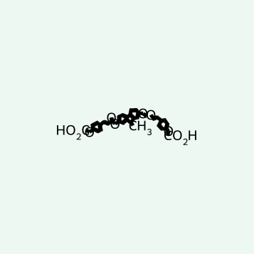 CC1c2cc(OCOC=Cc3ccc(OC(=O)O)cc3)ccc2-c2ccc(OC(=O)C=Cc3ccc(OC(=O)O)cc3)cc21